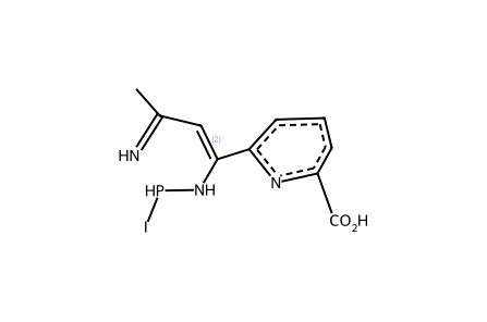 CC(=N)/C=C(\NPI)c1cccc(C(=O)O)n1